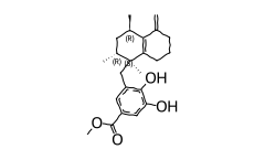 C=C1CCCC2=C1[C@H](C)C[C@@H](C)[C@]2(C)Cc1cc(C(=O)OC)cc(O)c1O